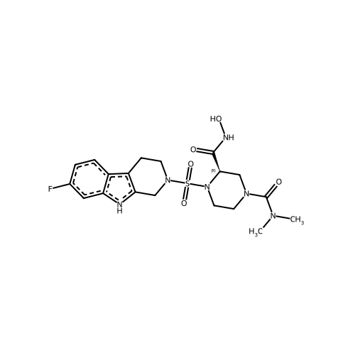 CN(C)C(=O)N1CCN(S(=O)(=O)N2CCc3c([nH]c4cc(F)ccc34)C2)[C@@H](C(=O)NO)C1